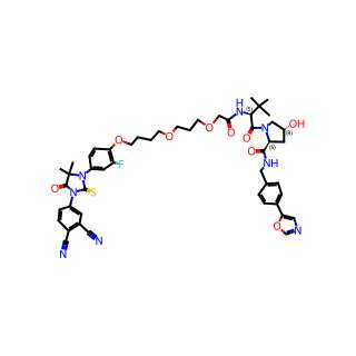 CC(C)(C)[C@H](NC(=O)COCCCOCCCCOc1ccc(N2C(=S)N(c3ccc(C#N)c(C#N)c3)C(=O)C2(C)C)cc1F)C(=O)N1C[C@H](O)C[C@H]1C(=O)NCc1ccc(-c2cnco2)cc1